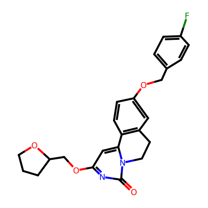 O=c1nc(OCC2CCCO2)cc2n1CCc1cc(OCc3ccc(F)cc3)ccc1-2